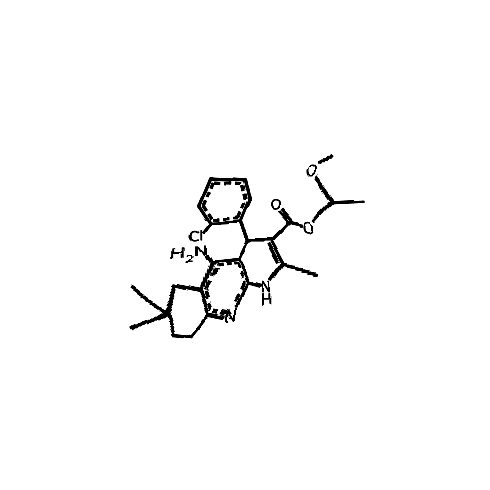 COC(C)OC(=O)C1=C(C)Nc2nc3c(c(N)c2C1c1ccccc1Cl)CC(C)(C)CC3